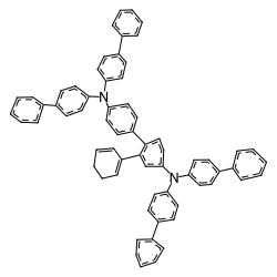 C1=CC(c2cc(N(c3ccc(-c4ccccc4)cc3)c3ccc(-c4ccccc4)cc3)ccc2-c2ccc(N(c3ccc(-c4ccccc4)cc3)c3ccc(-c4ccccc4)cc3)cc2)=CCC1